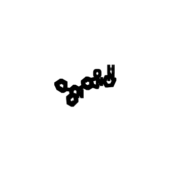 O=C1c2ccc(-c3cc(-c4ccccc4)c4ccccc4n3)cc2CN1C1CCCNC1